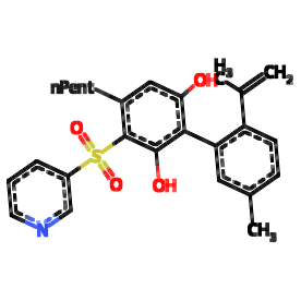 C=C(C)c1ccc(C)cc1-c1c(O)cc(CCCCC)c(S(=O)(=O)c2cccnc2)c1O